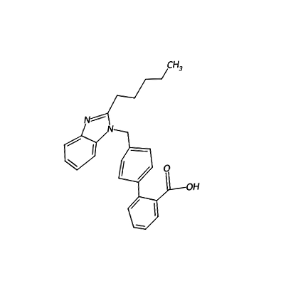 CCCCCc1nc2ccccc2n1Cc1ccc(-c2ccccc2C(=O)O)cc1